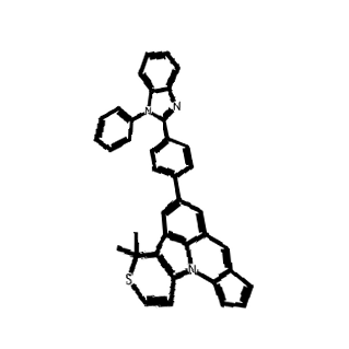 CC1(C)SC=Cc2c1c1cc(-c3ccc(-c4nc5ccccc5n4-c4ccccc4)cc3)cc3cc4cccc4n2c31